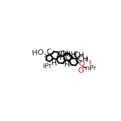 CCCC(=O)O[C@H]1CC[C@]2(C)[C@H]3CCC4[C@@H]5[C@H](C(C)C)CC[C@]5(C(=O)O)CC[C@@]4(C)[C@]3(C)CC[C@H]2C1(C)C